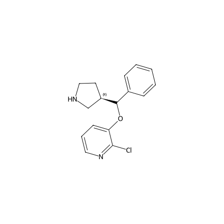 Clc1ncccc1OC(c1ccccc1)[C@@H]1CCNC1